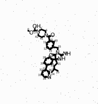 COC(O)N1CCN(C(=O)c2cccc(CN3C(=N)NC(CCC(C)C)(c4cccc(-c5cccnc5)c4)C3=O)c2)CC1